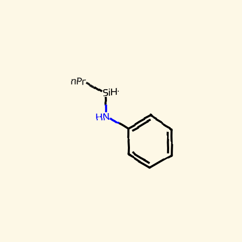 CCC[SiH]Nc1ccccc1